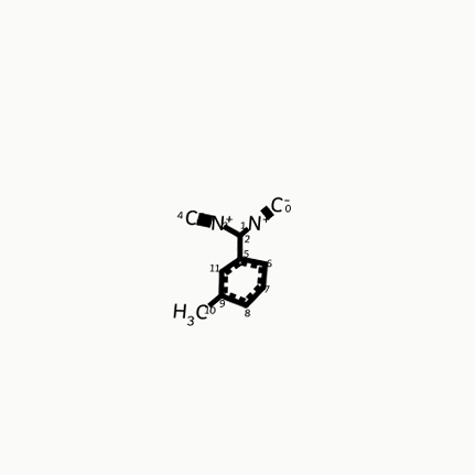 [C-]#[N+]C([N+]#[C-])c1cccc(C)c1